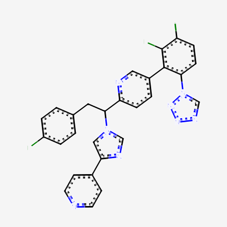 Fc1ccc(CC(c2ccc(-c3c(-n4cnnn4)ccc(Cl)c3F)cn2)n2cnc(-c3ccncc3)c2)cc1